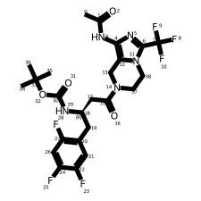 CC(=O)Nc1nc(C(F)(F)F)n2c1CN(C(=O)C[C@@H](Cc1cc(F)c(F)cc1F)NC(=O)OC(C)(C)C)CC2